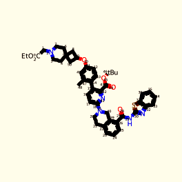 CCOC(=O)CN1CCC2(CC1)CC(Oc1ccc(-c3ccc(N4CCc5cccc(C(=O)Nc6nc7ccccc7s6)c5C4)nc3C(=O)OC(C)(C)C)c(C)c1)C2